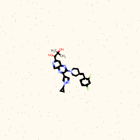 CC(C)(O)[C@H](O)c1cc2nc(N3CCC(=Cc4ccc(F)cc4F)CC3)c(-c3cnn(C4CC4)c3)nc2cn1